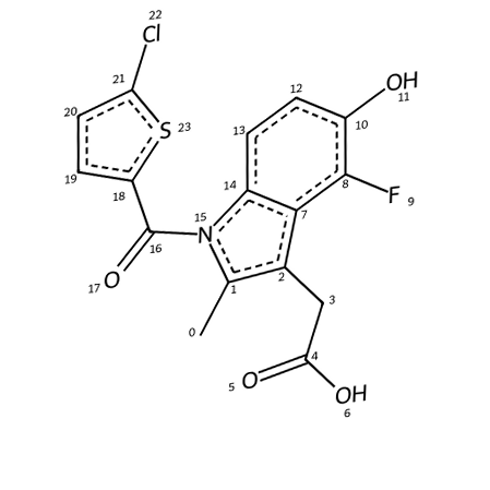 Cc1c(CC(=O)O)c2c(F)c(O)ccc2n1C(=O)c1ccc(Cl)s1